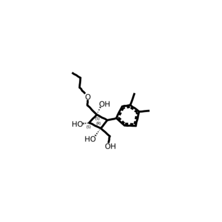 CCCOC[C@@]1(O)C(c2ccc(C)c(C)c2)[C@@](O)(CO)[C@@H]1O